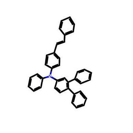 C(=C\c1ccc(N(c2ccccc2)c2ccc(-c3ccccc3)c(-c3ccccc3)c2)cc1)/c1ccccc1